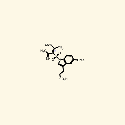 CN/C(C)=C(\C(C)=N)S(=O)(=O)n1cc(CCC(=O)O)c2cc(OC)ccc21